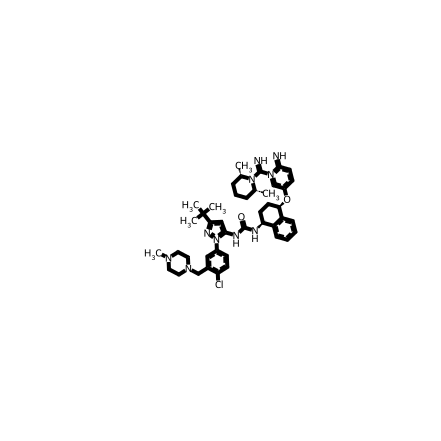 C[C@@H]1CCC[C@H](C)N1C(=N)n1cc(O[C@@H]2CC[C@H](NC(=O)Nc3cc(C(C)(C)C)nn3-c3ccc(Cl)c(CN4CCN(C)CC4)c3)c3ccccc32)ccc1=N